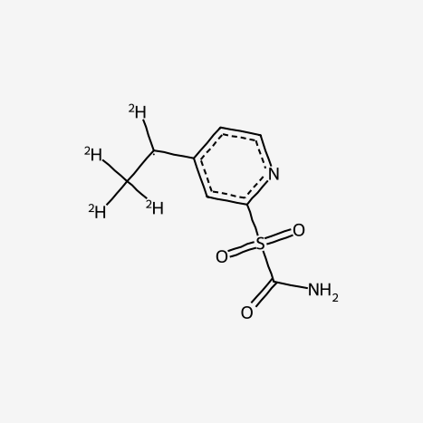 [2H][C](c1ccnc(S(=O)(=O)C(N)=O)c1)C([2H])([2H])[2H]